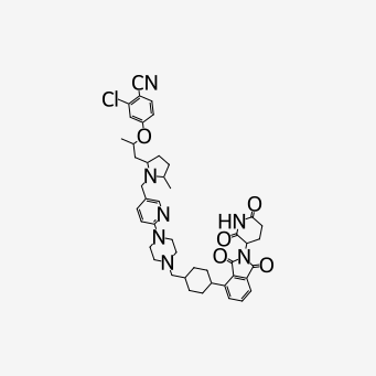 CC(CC1CCC(C)N1Cc1ccc(N2CCN(CC3CCC(c4cccc5c4C(=O)N(C4CCC(=O)NC4=O)C5=O)CC3)CC2)nc1)Oc1ccc(C#N)c(Cl)c1